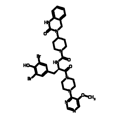 COc1cncnc1N1CCN(C(=O)[C@@H](Cc2cc(Br)c(O)c(Br)c2)NC(=O)N2CCC(N3Cc4ccccc4NC3=O)CC2)CC1